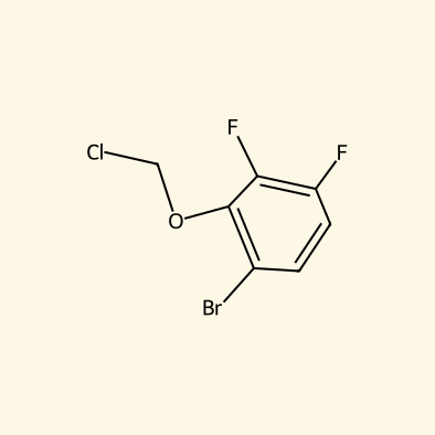 Fc1ccc(Br)c(OCCl)c1F